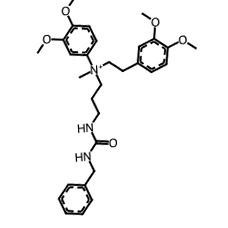 COc1ccc(CC[N+](C)(CCCNC(=O)NCc2ccccc2)c2ccc(OC)c(OC)c2)cc1OC